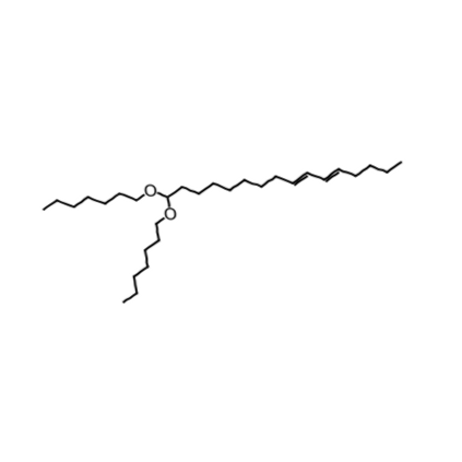 CCCCC=CC=CCCCCCCCC(OCCCCCCC)OCCCCCCC